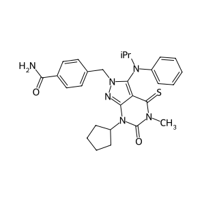 CC(C)N(c1ccccc1)c1c2c(=S)n(C)c(=O)n(C3CCCC3)c2nn1Cc1ccc(C(N)=O)cc1